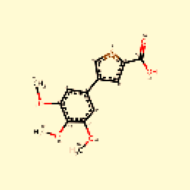 COc1cc(-c2csc(C(=O)O)c2)cc(OC)c1OC